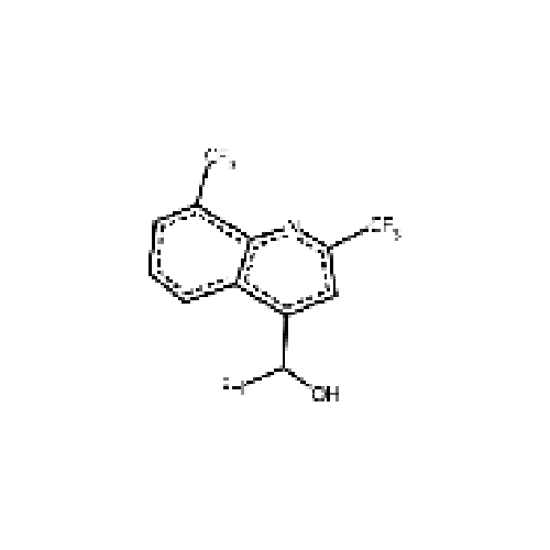 [2H]C(O)c1cc(C(F)(F)F)nc2c(C(F)(F)F)cccc12